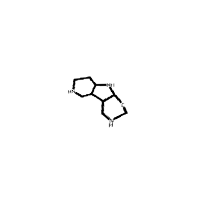 C1CC2NC3CCNCC3C2CN1